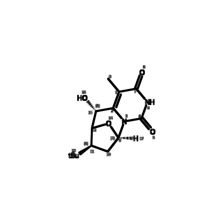 Cc1c2n(c(=O)[nH]c1=O)[C@H]1C[C@@H](C(C)(C)C)C(O1)[C@@H]2O